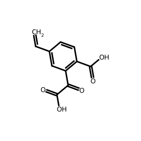 C=Cc1ccc(C(=O)O)c(C(=O)C(=O)O)c1